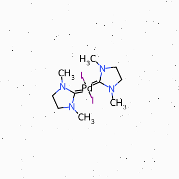 CN1CCN(C)[C]1=[Pd]([I])([I])=[C]1N(C)CCN1C